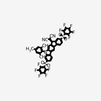 Cc1cc(C)c(B2c3cc(S(=O)(=O)c4c(F)c(F)c(F)c(F)c4F)ccc3-c3cc4c(cc32)C(=C(C#N)C#N)c2cc(S(=O)(=O)c3c(F)c(F)c(F)c(F)c3F)ccc2-4)c(C)c1